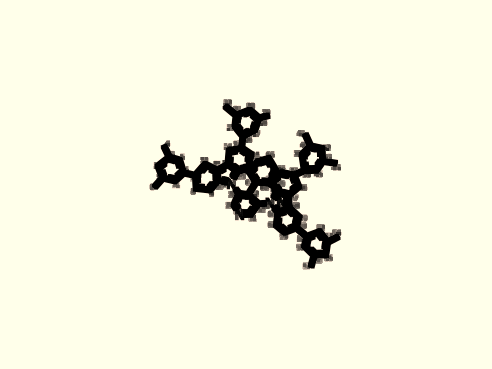 Cc1cc(C)cc(-c2ccc3c(c2)c2cc(-c4cc(C)cc(C)c4)ccc2n3-c2cncc(-n3c4ccc(-c5cc(C)cc(C)c5)cc4c4cc(-c5cc(C)cc(C)c5)ccc43)c2-c2ccccc2C#N)c1